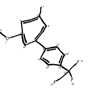 COc1cc(C)cc(-c2ccc(C(F)(F)F)cc2)c1